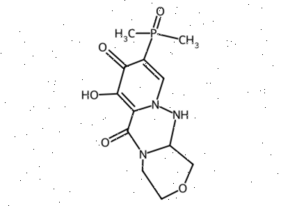 CP(C)(=O)c1cn2c(c(O)c1=O)C(=O)N1CCOCC1N2